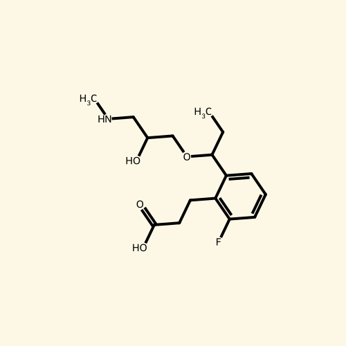 CCC(OCC(O)CNC)c1cccc(F)c1CCC(=O)O